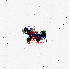 Cc1c(F)cccc1[C@@H](CCCN1CC(C(=O)c2cccc(O)c2)CC(C(=O)C2CC(C(=O)c3cccc(O)c3)CN(CCC[C@@H](NC(C)(C)CO)c3cccc(F)c3C)C2)C1)NC(C)(C)CO